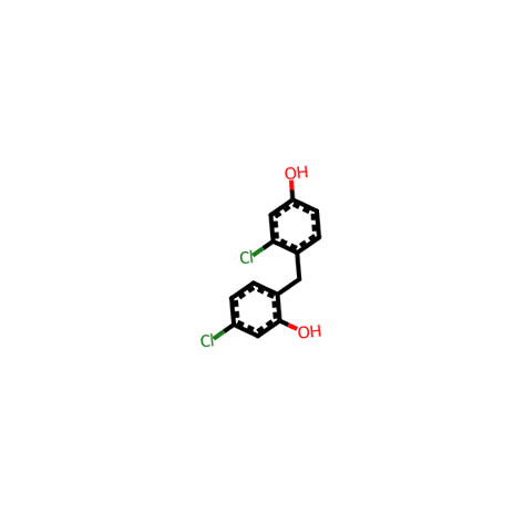 Oc1ccc(Cc2ccc(Cl)cc2O)c(Cl)c1